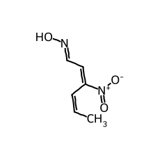 C\C=C/C(=C\C=N\O)[N+](=O)[O-]